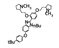 CCCCn1c(-c2ccc(OCCC3CCCN3C)cc2OCCC2CCCN2C)nc2ccc(Oc3ccc(C(C)(C)C)cc3)cc21